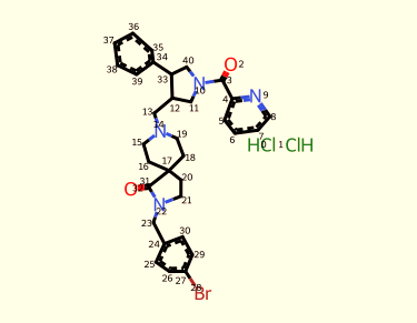 Cl.Cl.O=C(c1ccccn1)N1CC(CN2CCC3(CC2)CCN(Cc2ccc(Br)cc2)C3=O)C(c2ccccc2)C1